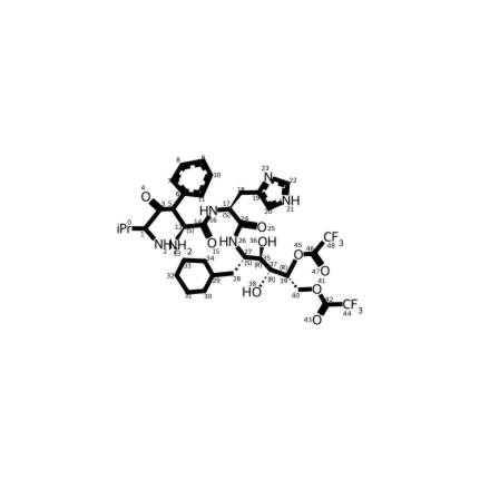 CC(C)C(N)C(=O)C(c1ccccc1)[C@H](N)C(=O)N[C@@H](Cc1c[nH]cn1)C(=O)N[C@@H](CC1CCCCC1)[C@@H](O)[C@@H](O)[C@@H](COC(=O)C(F)(F)F)OC(=O)C(F)(F)F